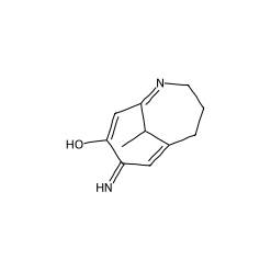 CC1C2=CC(=N)C(O)=CC1=NCCC2